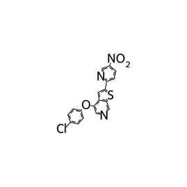 O=[N+]([O-])c1ccc(-c2cc3c(Oc4ccc(Cl)cc4)cncc3s2)nc1